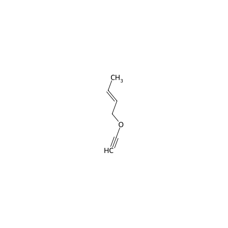 C#COCC=CC